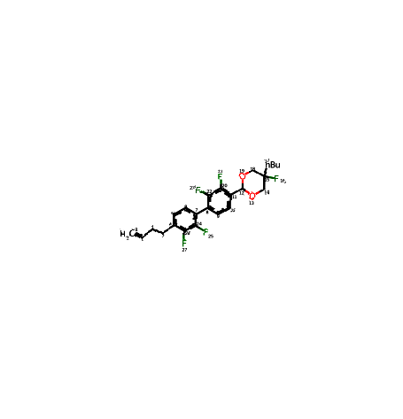 C=CCCc1ccc(-c2ccc(C3OCC(F)(CCCC)CO3)c(F)c2F)c(F)c1F